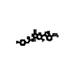 Cc1cccc2c(-c3nc4[nH]nc(NC(=O)Cc5ccc(F)cc5)c4cc3F)cnn12